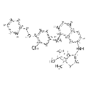 C[C@@H](O)[C@]1(C)CN=C(Nc2ccc3ncnc(Nc4ccc(OCc5ccccn5)c(Cl)c4)c3c2)O1